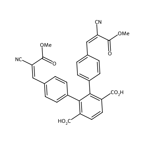 COC(=O)C(C#N)=Cc1ccc(-c2c(C(=O)O)ccc(C(=O)O)c2-c2ccc(C=C(C#N)C(=O)OC)cc2)cc1